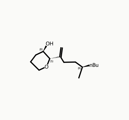 C=C(CC[C@H](C)CCCC)[C@@H]1OCCC[C@H]1O